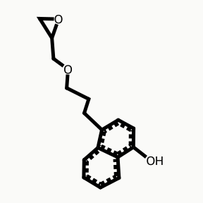 Oc1ccc(CCCOCC2CO2)c2ccccc12